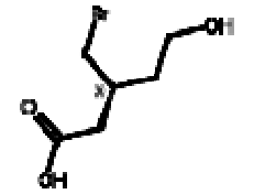 O=C(O)C[C@@H](CBr)CCO